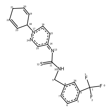 FC(F)(F)c1cccc(CNC(=S)N=c2ccn(C3C=CCC=C3)nc2)c1